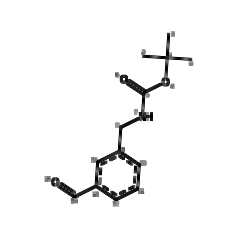 CC(C)(C)OC(=O)NCc1cccc([C]=O)c1